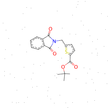 CC(C)(C)OC(=O)c1ccc(CN2C(=O)c3ccccc3C2=O)s1